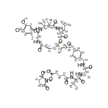 COc1ccc(C[C@H]2NC(=O)/C=C/C[C@@H](C(C)[C@H]3O[C@@H]3c3ccc(CNC(=O)[C@H](C)NC(=O)[C@@H](NC(=O)CCCC(=O)ON4C(=O)CCC4=O)C(C)C)cc3)OC(=O)[C@H](CC(C)C)NC(=O)C(C)(C)C3(CC3)NC2=O)cc1Cl